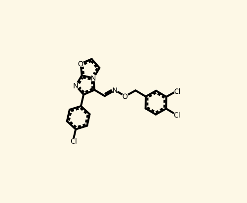 Clc1ccc(-c2nc3occn3c2/C=N/OCc2ccc(Cl)c(Cl)c2)cc1